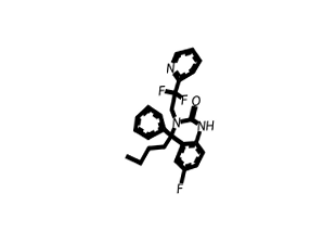 CCCCC1(c2ccccc2)c2cc(F)ccc2NC(=O)N1CC(F)(F)c1ccccn1